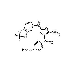 COc1ccc(C(=O)c2sc(Nc3ccc4c(c3)OC(F)(F)O4)nc2N)cc1